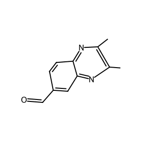 Cc1nc2ccc(C=O)cc2nc1C